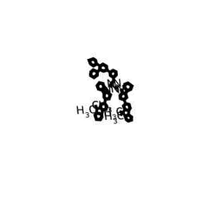 CC1(C)c2ccccc2-c2ccc(-c3ccc4c(c3)c3ccccc3n4-c3nc(-c4cccc(-c5ccc(-c6ccccc6)c(-c6ccccc6)c5)c4)nc(-n4c5ccccc5c5cc(-c6ccc7c(c6)C(C)(C)c6ccccc6-7)ccc54)n3)cc21